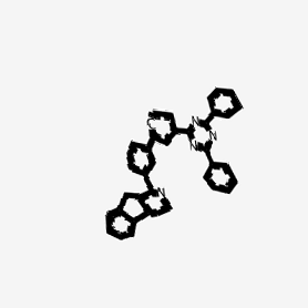 c1ccc(-c2nc(-c3ccccc3)nc(-c3cccc(-c4cccc(-c5nccc6c5Cc5ccccc5-6)c4)c3)n2)cc1